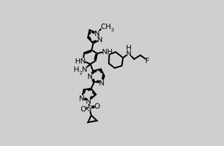 Cn1ccc(C2=CNC(N)(c3ccnc(-c4cnn(S(=O)(=O)C5CC5)c4)n3)C=C2NC2CCCC(NCCF)C2)n1